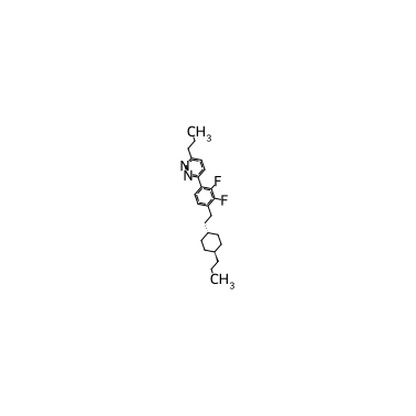 CCCc1ccc(-c2ccc(CC[C@H]3CC[C@H](CCC)CC3)c(F)c2F)nn1